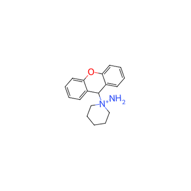 N[N+]1(C2c3ccccc3Oc3ccccc32)CCCCC1